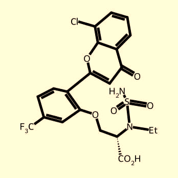 CCN([C@@H](COc1cc(C(F)(F)F)ccc1-c1cc(=O)c2cccc(Cl)c2o1)C(=O)O)S(N)(=O)=O